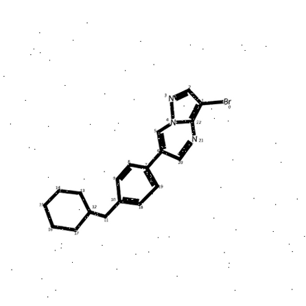 Brc1cnn2cc(-c3ccc(CC4CCCCC4)cc3)cnc12